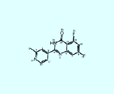 Cc1cc(-c2nc3cc(F)cc(F)c3c(=O)[nH]2)ccn1